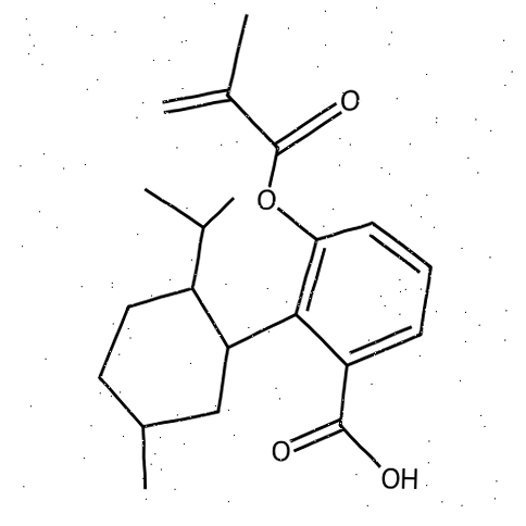 C=C(C)C(=O)Oc1cccc(C(=O)O)c1C1CC(C)CCC1C(C)C